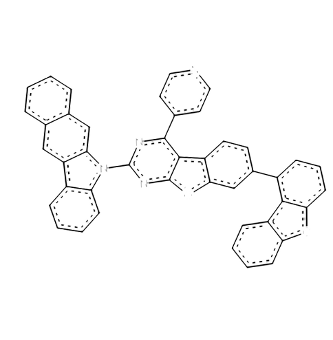 c1ccc2cc3c(cc2c1)c1ccccc1n3-c1nc(-c2ccncc2)c2c(n1)oc1cc(-c3cccc4oc5ccccc5c34)ccc12